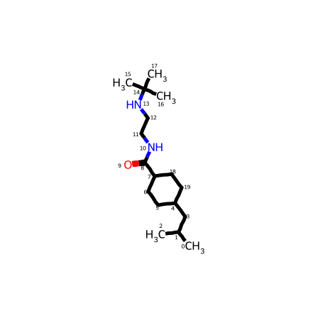 CC(C)CC1CCC(C(=O)NCCNC(C)(C)C)CC1